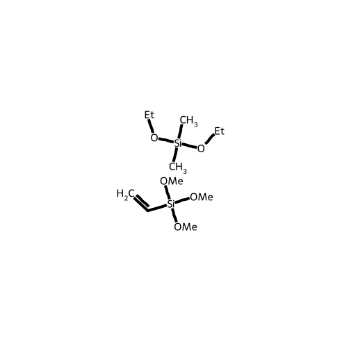 C=C[Si](OC)(OC)OC.CCO[Si](C)(C)OCC